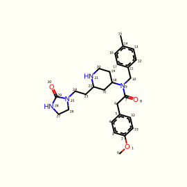 COc1ccc(CC(=O)N(Cc2ccc(C)cc2)C2CCNC(CCN3CCNC3=O)C2)cc1